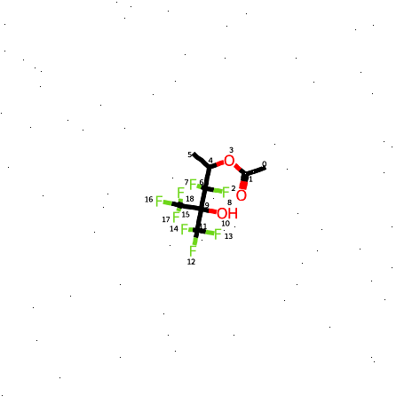 CC(=O)OC(C)C(F)(F)C(O)(C(F)(F)F)C(F)(F)F